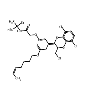 C/C=C\CCCCOC(=O)CC(/C=N/OCC(=O)NC(P)(CC)CCCC)=C1/Sc2c(Cl)ccc(Cl)c2SC1CO